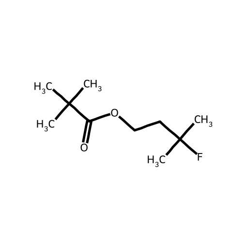 CC(C)(F)CCOC(=O)C(C)(C)C